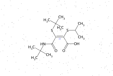 CC(C)S/C(C(=O)O)=C(\SC(C)(C)C)C(=O)NC(C)(C)C